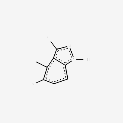 Cn1nc(Cl)c2c(Cl)c(Br)ccc21